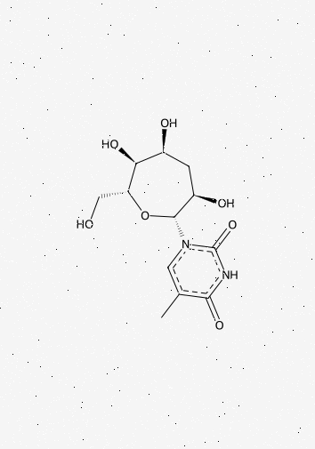 Cc1cn([C@@H]2O[C@H](CO)[C@@H](O)[C@@H](O)C[C@H]2O)c(=O)[nH]c1=O